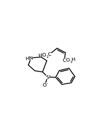 O=C(O)/C=C\C(=O)O.[O-][S+](c1ccccc1)C1CCNCC1